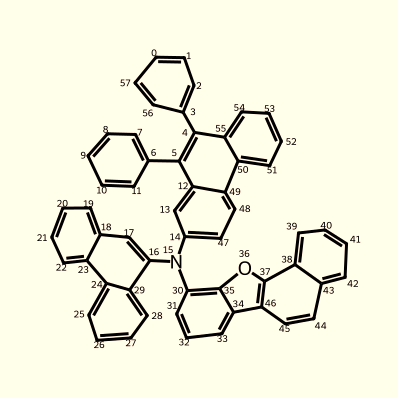 c1ccc(-c2c(-c3ccccc3)c3cc(N(c4cc5ccccc5c5ccccc45)c4cccc5c4oc4c6ccccc6ccc54)ccc3c3ccccc23)cc1